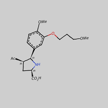 COCCCOc1cc([C@H]2N[C@@H](C(=O)O)C[C@H]2C(C)=O)ccc1OC